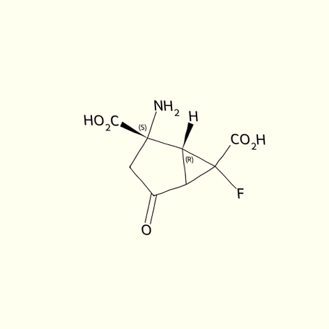 N[C@@]1(C(=O)O)CC(=O)C2[C@H]1C2(F)C(=O)O